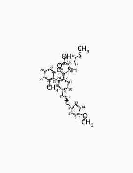 COc1ccc(CSCc2ccc(C(=O)N[C@@H](CCSC)C(=O)O)c(-c3ccccc3C)c2)cc1